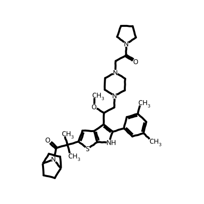 COC(CN1CCN(CC(=O)N2CCCC2)CC1)c1c(-c2cc(C)cc(C)c2)[nH]c2sc(C(C)(C)C(=O)N3C4CCC3CC4)cc12